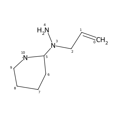 C=CCN(N)C1CCCC[N]1